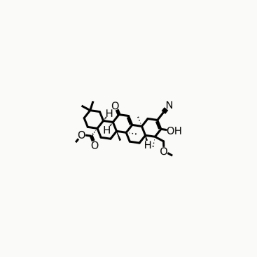 COC[C@]1(C)C(O)=C(C#N)C[C@]2(C)C3=CC(=O)[C@@H]4[C@@H]5CC(C)(C)CC[C@]5(C(=O)OC)CC[C@@]4(C)[C@]3(C)CC[C@H]21